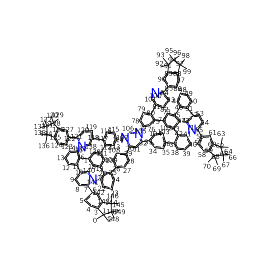 CC1(C)c2ccc(-c3ccc(-c4ccccc4-c4cc(-c5ccccc5-c5ccc(-c6cc(-c7ccc(-c8ccccc8-c8cc(-c9ccccc9-c9ccc(-c%10ccc%11c(c%10)C(C)(C)C(C)(C)C%11(C)C)nc9)cc(-c9ccccc9-c9ccc(-c%10ccc%11c(c%10)C(C)(C)C(C)(C)C%11(C)C)nc9)c8)cc7)ncn6)cc5)cc(-c5ccccc5-c5ccc(-c6ccc7c(c6)C(C)(C)C(C)(C)C7(C)C)nc5)c4)cn3)cc2C(C)(C)C1(C)C